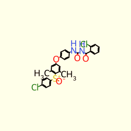 Cc1cc(Oc2ccc(NC(=O)NC(=O)c3ccccc3Cl)cc2)cc(C)c1[S+]([O-])c1ccc(Cl)cc1